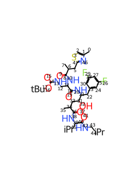 Cc1csc(CC(C)C(=O)NC(CNC(=O)OC(C)(C)C)C(=O)NC(Cc2cc(F)cc(F)c2)C(O)CC(C)C(=O)NC(C(=O)NCC(C)C)C(C)C)n1